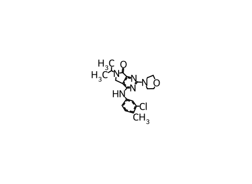 Cc1ccc(Nc2nc(N3CCOCC3)nc3c2CN(C(C)C)C3=O)cc1Cl